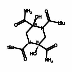 CC(C)(C)C(=O)N1C[C@](O)(C(N)=O)N(C(=O)C(C)(C)C)C[C@@]1(O)C(N)=O